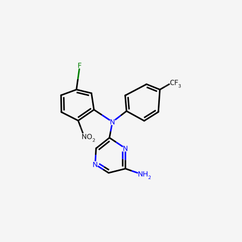 Nc1cncc(N(c2ccc(C(F)(F)F)cc2)c2cc(F)ccc2[N+](=O)[O-])n1